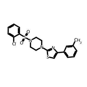 Cc1cccc(-c2csc(N3CCN(S(=O)(=O)c4ccccc4Cl)CC3)n2)c1